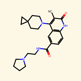 N#Cc1c(N2CCC3(CC2)CC3)c2cc(C(=O)NCCN3CCCC3)ccc2[nH]c1=O